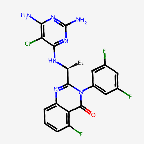 CC[C@H](Nc1nc(N)nc(N)c1Cl)c1nc2cccc(F)c2c(=O)n1-c1cc(F)cc(F)c1